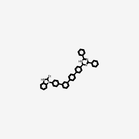 CCC1Nc2ccccc2N1c1ccc(-c2cccc(-c3ccc(-c4ccc(C5N=C(c6ccccc6)N=C(c6ccccc6)N5)cc4)cc3)c2)cc1